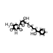 Cc1cn([C@H]2C[C@H](O)[C@@H](COCCCC(O)c3cccnc3)O2)c(=O)[nH]c1=O